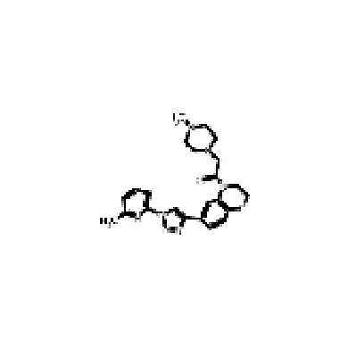 Cc1cccc(-n2cc(-c3ccc4c(c3)N(C(=O)CN3CCN(C)CC3)CCO4)nn2)n1